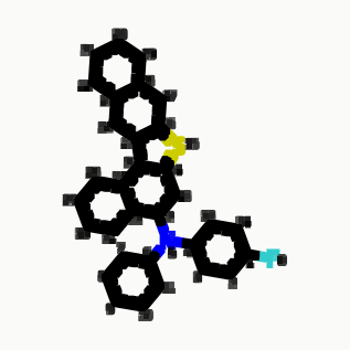 Fc1ccc(N(c2ccccc2)c2cc3sc4cc5ccccc5cc4c3c3ccccc23)cc1